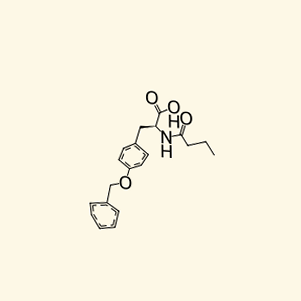 CCCC(=O)N[C@@H](Cc1ccc(OCc2ccccc2)cc1)C(=O)O